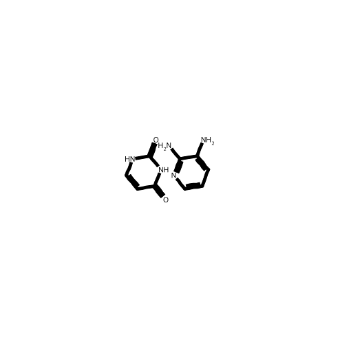 Nc1cccnc1N.O=c1cc[nH]c(=O)[nH]1